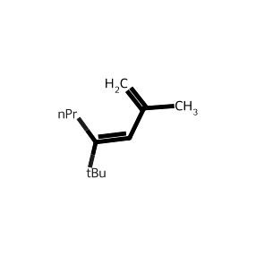 C=C(C)/C=C(\CCC)C(C)(C)C